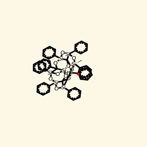 C[Si@@]1(c2ccccc2)O[Si]2(c3ccccc3)O[Si]3(c4ccccc4)OC4(c5ccccc5)[Si]56OC32O[SiH](c2ccccc2)OC2(O5)[Si](c3ccccc3)(O[Si]4(c3ccccc3)O6)O[Si]2(c2ccccc2)O1